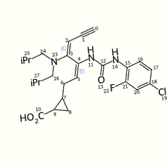 C#C/C=C(\C(=C/CC1CC1C(=O)O)NC(=O)Nc1ccc(Cl)cc1F)N(CC(C)C)CC(C)C